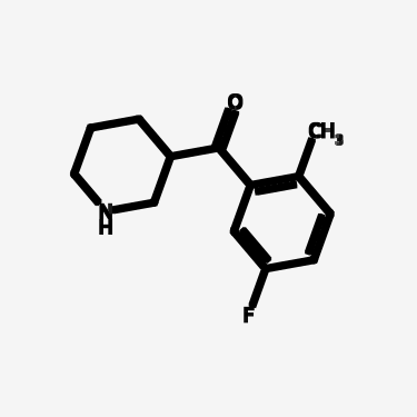 Cc1ccc(F)cc1C(=O)C1CCCNC1